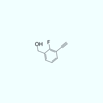 C#Cc1cccc(CO)c1F